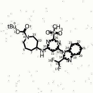 CC(C)(C)OC(=O)N1CCCC(Nc2cc(-n3c(C(F)F)nc4ccccc43)nc(S(C)(=O)=O)n2)CC1